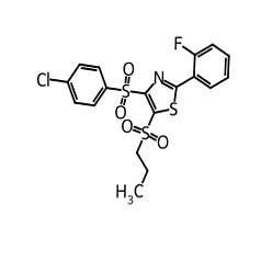 CCCS(=O)(=O)c1sc(-c2ccccc2F)nc1S(=O)(=O)c1ccc(Cl)cc1